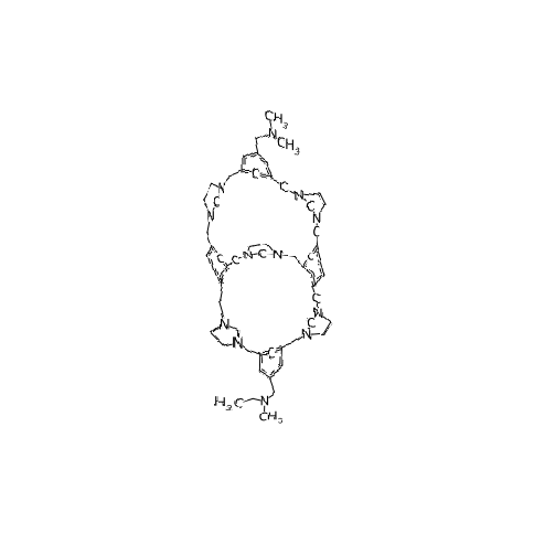 CCN(C)Cc1cc2cc(c1)CN1CCN(Cc3cc4cc(c3)CN3CCN(Cc5cc(cc(c5)CN5CCN(C2)C5)CN2CCN(Cc5cc(CN(C)C)cc(c5)CN5CCN(C4)C5)C2)C3)C1